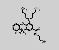 CCCCN(CCCC)c1cc(C(=O)NCCO)cc(S(N)(=O)=O)c1Oc1ccccc1